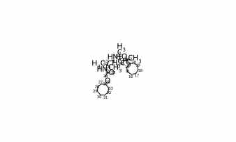 CC(C)(CCNC(C)(C)OC(C)(C)C1CCCCCCC1)NC(=O)COC1CCCCCCC1